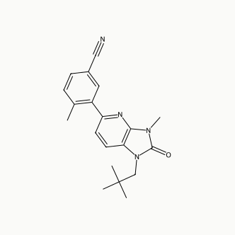 Cc1ccc(C#N)cc1-c1ccc2c(n1)n(C)c(=O)n2CC(C)(C)C